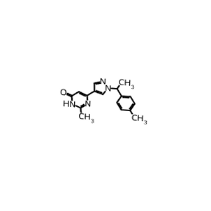 Cc1ccc(C(C)n2cc(-c3cc(=O)[nH]c(C)n3)cn2)cc1